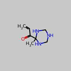 C=CC(=O)C1(C)NCNCN1